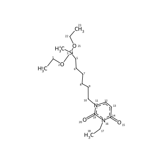 CCO[Si](C)(CCCCCCn1ccc(=O)n(CC)c1=O)OCC